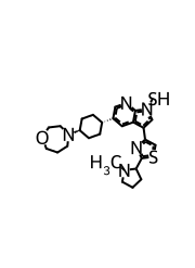 CN1CCCC1c1nc(-c2cn(S)c3ncc([C@H]4CC[C@H](N5CCCOCC5)CC4)cc23)cs1